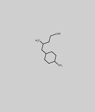 CC1CCC(CC(C)CCC=O)CC1